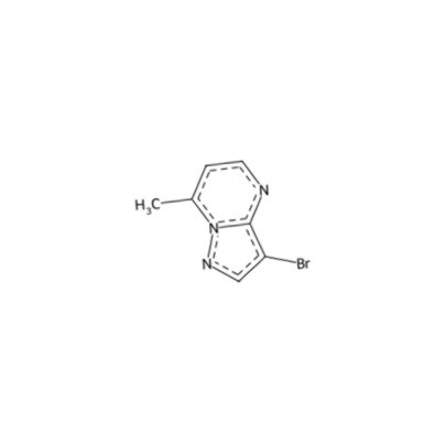 Cc1ccnc2c(Br)cnn12